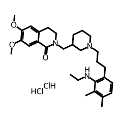 CCNc1c(CCCN2CCCC(CN3CCc4cc(OC)c(OC)cc4C3=O)C2)ccc(C)c1C.Cl.Cl